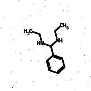 CCNC(NCC)c1ccccc1